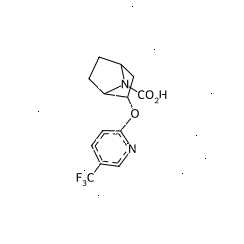 O=C(O)N1C2CCC1C(Oc1ccc(C(F)(F)F)cn1)C2